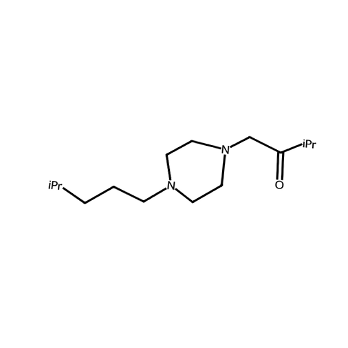 CC(C)CCCN1CCN(CC(=O)C(C)C)CC1